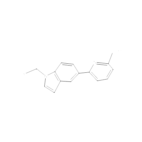 CC(C)Cn1ccc2cc(-c3cccc(C=O)n3)ccc21